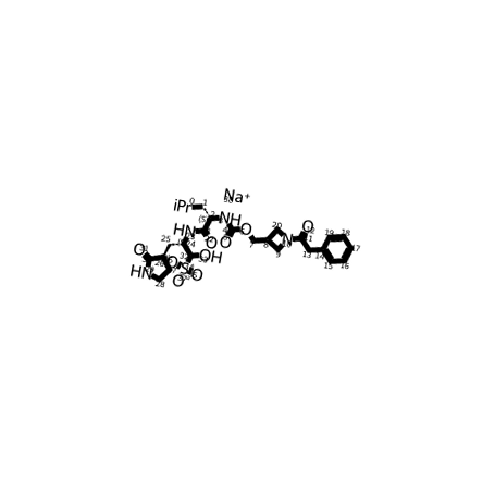 CC(C)C[C@H](NC(=O)OCC1CN(C(=O)Cc2ccccc2)C1)C(=O)N[C@@H](C[C@H]1CCNC1=O)C(O)S(=O)(=O)[O-].[Na+]